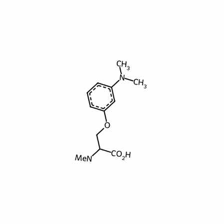 CNC(COc1cccc(N(C)C)c1)C(=O)O